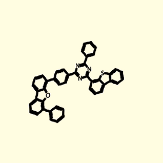 c1ccc(-c2nc(-c3ccc(-c4cccc5c4oc4c(-c6ccccc6)cccc45)cc3)nc(-c3cccc4c3sc3ccccc34)n2)cc1